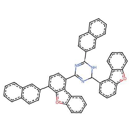 c1ccc2cc(C3=NC(c4ccc(-c5ccc6ccccc6c5)c5oc6ccccc6c45)=NC(c4cccc5oc6ccccc6c45)N3)ccc2c1